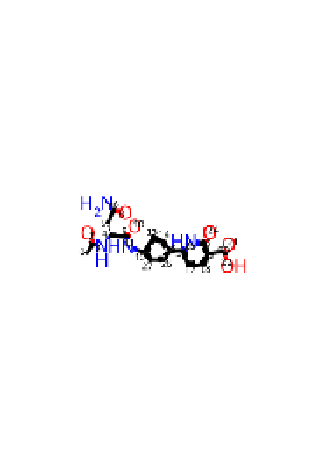 CC(=O)N[C@H](CC(N)=O)C(=O)Nc1ccc(-c2ccc(C(=O)O)c(=O)[nH]2)cc1